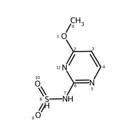 COc1ccnc(N[SH](=O)=O)n1